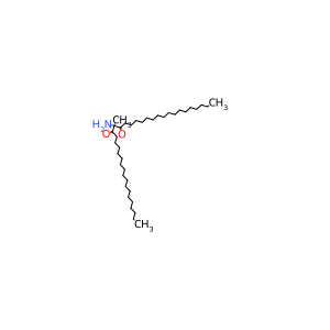 CCCCCCCCCCCCCCCCCC(=O)C(C)(N)C(=O)CCCCCCCCCCCCCCCCC